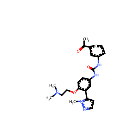 CC(=O)c1cccc(NC(=O)Nc2ccc(OCCN(C)C)c(-c3ccnn3C)c2)c1